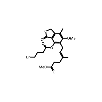 COC(=O)CC/C(C)=C/Cc1c(OC)c(C)c2c(c1OC(=O)CCCBr)C(=O)OC2